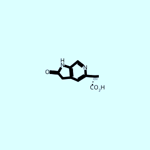 C[C@H](C(=O)O)c1cc2c(cn1)NC(=O)C2